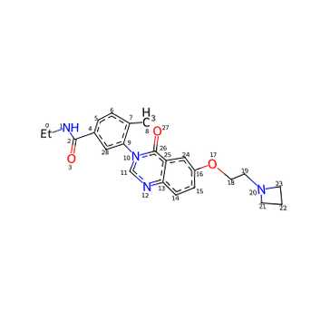 CCNC(=O)c1ccc(C)c(-n2cnc3ccc(OCCN4CCC4)cc3c2=O)c1